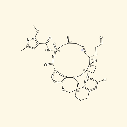 COc1nn(C)cc1C(=O)N[S@@]1(=O)=NC(=O)c2ccc3c(c2)N(C[C@@H]2CC[C@H]2[C@@H](OCC=O)/C=C/C[C@H](C)C1)C[C@@]1(CCCc2cc(Cl)ccc21)CO3